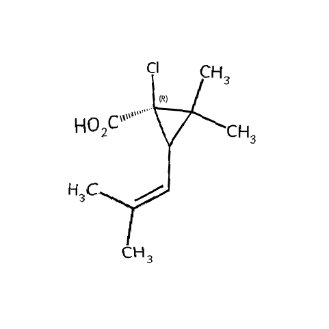 CC(C)=CC1C(C)(C)[C@@]1(Cl)C(=O)O